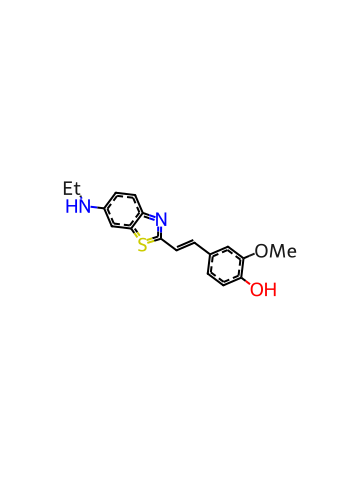 CCNc1ccc2nc(/C=C/c3ccc(O)c(OC)c3)sc2c1